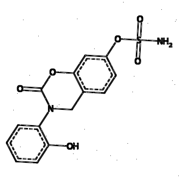 NS(=O)(=O)Oc1ccc2c(c1)OC(=O)N(c1ccccc1O)C2